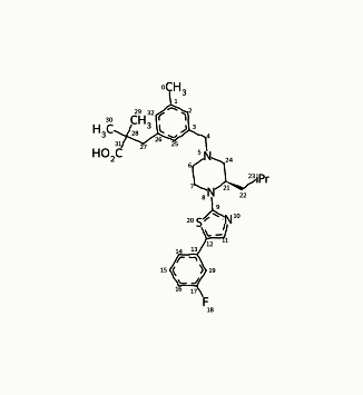 Cc1cc(CN2CCN(c3ncc(-c4cccc(F)c4)s3)[C@H](CC(C)C)C2)cc(CC(C)(C)C(=O)O)c1